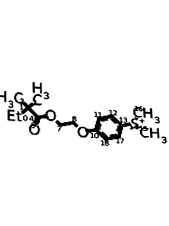 CCC(C)(C)C(=O)OCCOc1ccc([S+](C)C)cc1